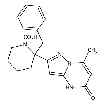 Cc1cc(=O)[nH]c2cc(C3(Cc4ccccc4)CCCCN3C(=O)O)nn12